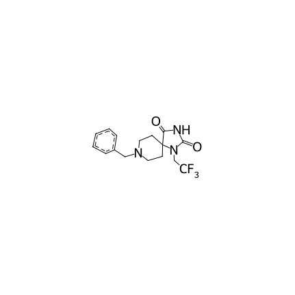 O=C1NC(=O)C2(CCN(Cc3ccccc3)CC2)N1CC(F)(F)F